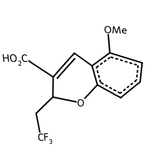 COc1cccc2c1C=C(C(=O)O)C(CC(F)(F)F)O2